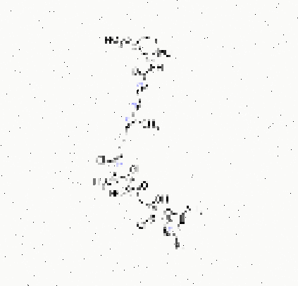 CC/C=C/[C@@H](OC(N)=O)[C@@H](Cl)[C@H](O)CC(=O)[C@@H](O)[C@H](O)[C@H](C)/C(Cl)=C/CC/C=C(C)/C=C/C=C/C(=O)N[C@@H]1C[C@@H](C(=O)O)CC[C@H]1O